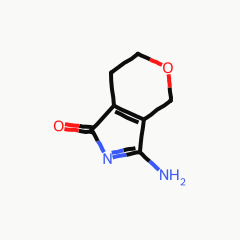 NC1=NC(=O)C2=C1COCC2